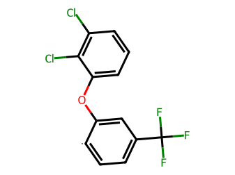 FC(F)(F)c1cc[c]c(Oc2cccc(Cl)c2Cl)c1